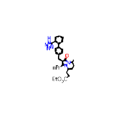 CCCc1c(Cc2ccc(-c3ccccc3-c3nnn[nH]3)cc2)c(=O)n2n1C(CCC(=O)OCC)CCC2C